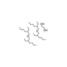 CCCCC(CC)COCC(CC)CCCC.CCCCC(CC)COCC(CC)CCCC.OCCO